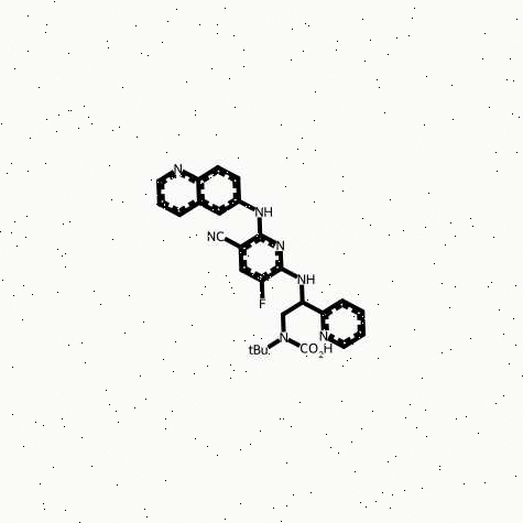 CC(C)(C)N(CC(Nc1nc(Nc2ccc3ncccc3c2)c(C#N)cc1F)c1ccccn1)C(=O)O